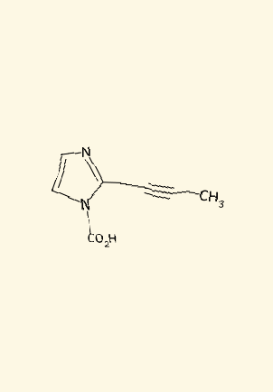 CC#Cc1nccn1C(=O)O